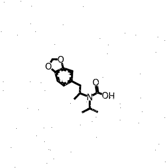 CC(C)N(C(=O)O)C(C)Cc1ccc2c(c1)OCO2